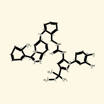 CSC(C)(C)c1cc(NC(=O)NCc2ccccc2Sc2ccc3nnc(-c4ccccc4C)n3c2)n(-c2ccc(Cl)c(O)c2)n1